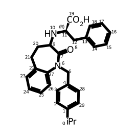 CC(C)c1ccc(CN2C(=O)C(N[C@H](Cc3ccccc3)C(=O)O)CCc3ccccc32)cc1